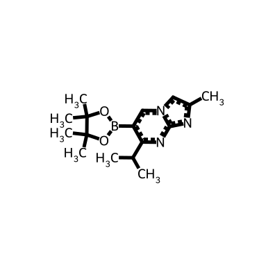 Cc1cn2cc(B3OC(C)(C)C(C)(C)O3)c(C(C)C)nc2n1